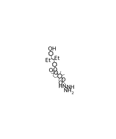 CC/C(=C(/CC)c1ccc(OC(=O)C2(C)CCc3c(C)c(OC(=O)CNC(=N)N)c(C)c(C)c3O2)cc1)c1ccc(O)cc1